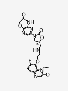 CCn1c(=O)cnc2ccc(F)c(OCCNC[C@H]3CN(c4cnc5c(n4)NC(=O)CO5)C(=O)O3)c21